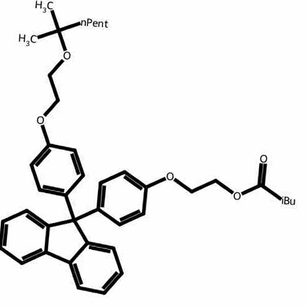 CCCCCC(C)(C)OCCOc1ccc(C2(c3ccc(OCCOC(=O)C(C)CC)cc3)c3ccccc3-c3ccccc32)cc1